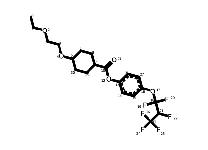 CCOCCOC1CCC(C(=O)Oc2ccc(OC(F)(F)C(F)C(F)(F)F)cc2)CC1